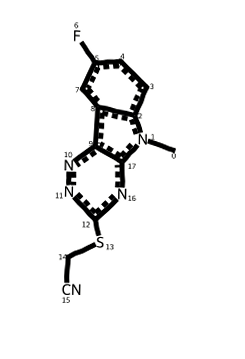 Cn1c2ccc(F)cc2c2nnc(SCC#N)nc21